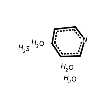 O.O.O.S.c1ccncc1